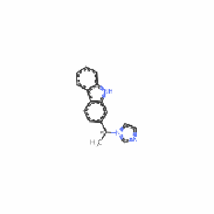 C[C@@H](c1ccc2c(c1)[nH]c1ccccc12)n1ccnc1